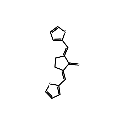 O=C1/C(=C/c2cccs2)CC/C1=C\c1cccs1